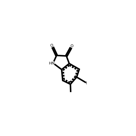 Cc1cc2c(cc1I)C(=O)C(=O)N2